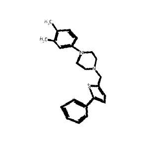 Cc1ccc(N2CCN(Cc3ccc(-c4ccccc4)s3)CC2)cc1C